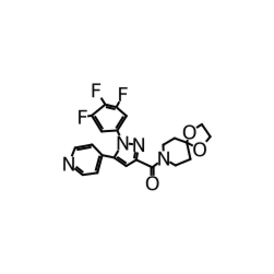 O=C(c1cc(-c2ccncc2)n(-c2cc(F)c(F)c(F)c2)n1)N1CCC2(CC1)OCCO2